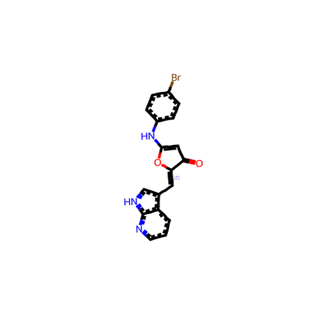 O=C1C=C(Nc2ccc(Br)cc2)O/C1=C\c1c[nH]c2ncccc12